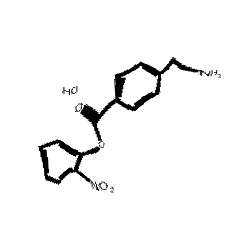 Cl.NCc1ccc(C(=O)Oc2ccccc2[N+](=O)[O-])cc1